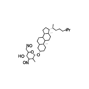 CC(C)CCCC(C)[C@H]1CCC2C3CCC4C[C@@H](O[C@H]5OC(CN=O)[C@@H](O)C(N=O)C5C)CC[C@]4(C)C3CC[C@@]21C